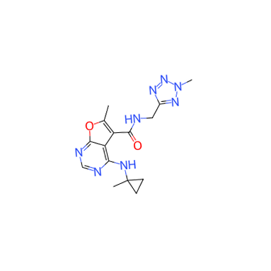 Cc1oc2ncnc(NC3(C)CC3)c2c1C(=O)NCc1nnn(C)n1